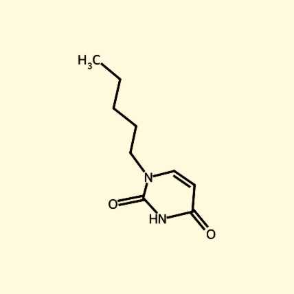 CCCCCn1ccc(=O)[nH]c1=O